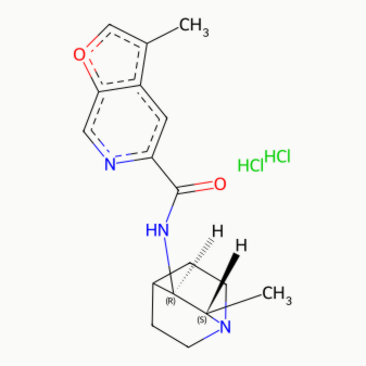 Cc1coc2cnc(C(=O)N[C@@H]3C4CCN(CC4)[C@H]3C)cc12.Cl.Cl